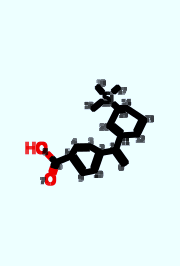 C=C(c1ccc(C(=O)O)cc1)c1cccc([Si](C)(C)C)c1